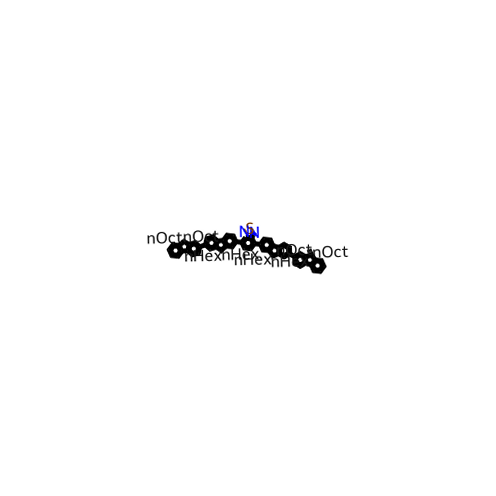 CCCCCCCCC1(CCCCCCCC)c2ccccc2-c2ccc(-c3ccc4c(c3)C(CCCCCC)(CCCCCC)c3cc(-c5ccc(-c6ccc7c(c6)C(CCCCCC)(CCCCCC)c6cc(-c8ccc9c(c8)C(CCCCCCCC)(CCCCCCCC)c8ccccc8-9)ccc6-7)c6nsnc56)ccc3-4)cc21